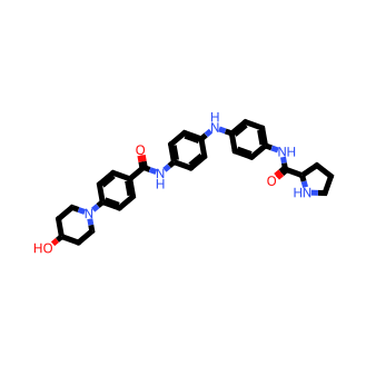 O=C(Nc1ccc(Nc2ccc(NC(=O)C3CCCN3)cc2)cc1)c1ccc(N2CCC(O)CC2)cc1